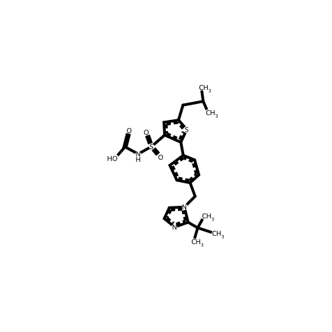 CC(C)Cc1cc(S(=O)(=O)NC(=O)O)c(-c2ccc(Cn3ccnc3C(C)(C)C)cc2)s1